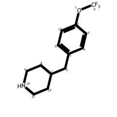 FC(F)(F)Oc1ccc(CC2[CH]CNCC2)cc1